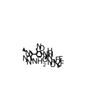 Nc1ncnc2c1c(-c1ccc(NC(=O)Nc3cc(C4(C(F)(F)F)CC4)on3)c3oncc13)cn2C1CC1